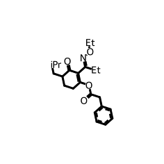 CCON=C(CC)C1=C(OC(=O)Cc2ccccc2)CCC(CC(C)C)C1=O